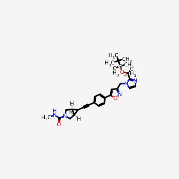 CNC(=O)N1C[C@@H]2C(C#Cc3ccc(-c4cc(Cn5ccnc5[C@H](C)O[Si](C)(C)C(C)(C)C)no4)cc3)[C@@H]2C1